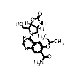 CC(C)Oc1cc2c(N3C[C@H]4NC(=O)O[C@H]4C3CO)ncnc2cc1C(N)=O